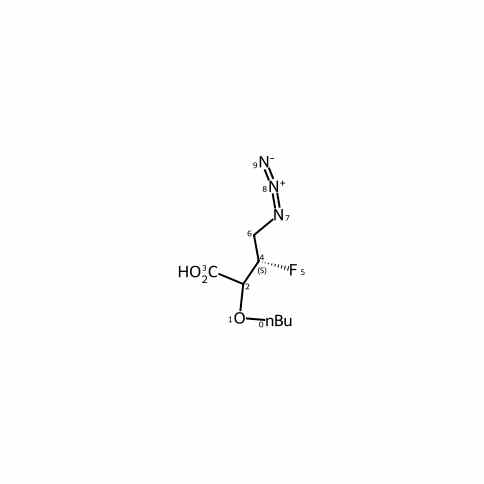 CCCCOC(C(=O)O)[C@@H](F)CN=[N+]=[N-]